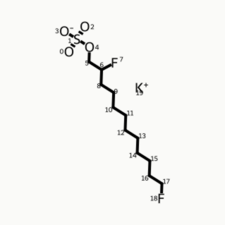 O=S(=O)([O-])OCC(F)CCCCCCCCCCF.[K+]